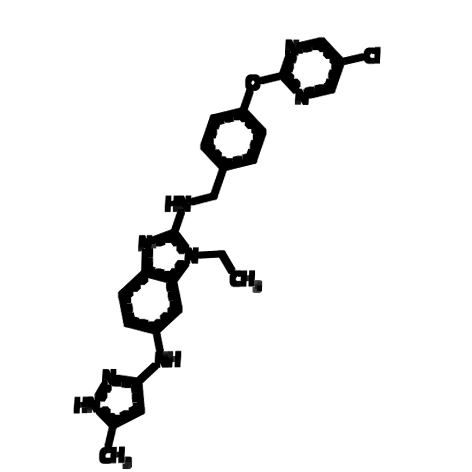 CCn1c(NCc2ccc(Oc3ncc(Cl)cn3)cc2)nc2ccc(Nc3cc(C)[nH]n3)cc21